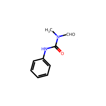 CN(C=O)C(=O)Nc1ccccc1